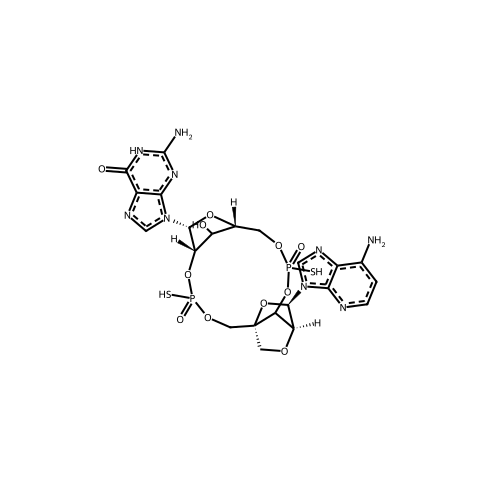 Nc1nc2c(ncn2[C@@H]2O[C@@H]3COP(=O)(S)OC4[C@@H]5OC[C@]4(COP(=O)(S)O[C@H]2C3O)O[C@H]5n2cnc3c(N)ccnc32)c(=O)[nH]1